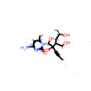 CC#CC1(O)C(CO)[C@@H]([C@@H](C)O)O[C@H]1n1c(C)cc(N)nc1=O